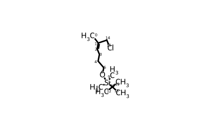 CC(=CCCCO[Si](C)(C)C(C)(C)C)CCl